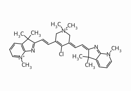 CN1C=CC=C2C1=N/C(=C/C=C1\C[N+](C)(C)CC(/C=C/C3=Nc4c(ccc[n+]4C)C3(C)C)=C1Cl)C2(C)C